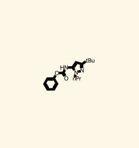 CCCn1nc(C(C)(C)C)cc1NC(=O)Oc1ccccc1